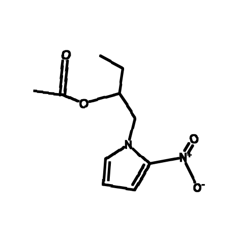 CCC(Cn1cccc1[N+](=O)[O-])OC(C)=O